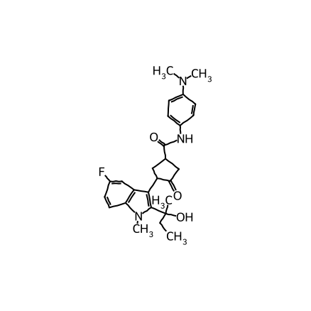 CCC(C)(O)c1c(C2CC(C(=O)Nc3ccc(N(C)C)cc3)CC2=O)c2cc(F)ccc2n1C